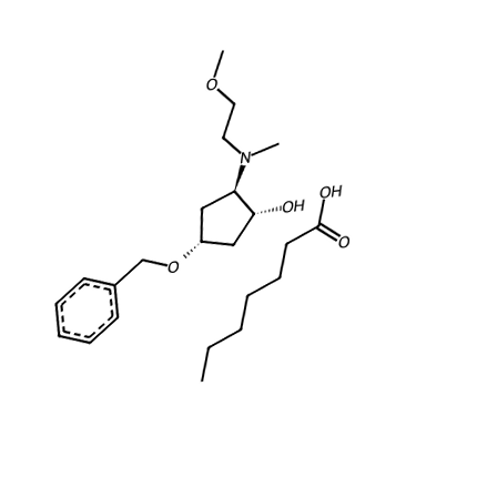 CCCCCCC(=O)O.COCCN(C)[C@@H]1C[C@@H](OCc2ccccc2)C[C@H]1O